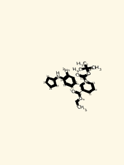 [2H]c1cc([C@H]2[C@@H](C(=O)OCC)CCCN2C(=O)OC(C)(C)C)ccc1NC1CCCC1